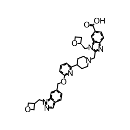 O=C(O)c1ccc2nc(CN3CCC(c4cccc(OCc5ccc6cnn(CC7COC7)c6c5)n4)CC3)n(C[C@@H]3CCO3)c2c1